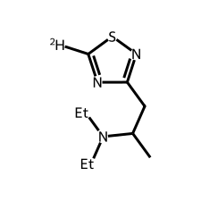 [2H]c1nc(CC(C)N(CC)CC)ns1